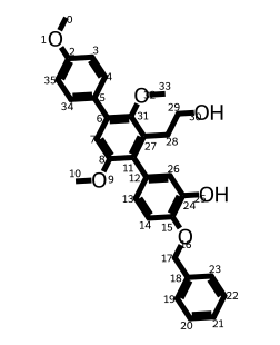 COc1ccc(-c2cc(OC)c(-c3ccc(OCc4ccccc4)c(O)c3)c(CCO)c2OC)cc1